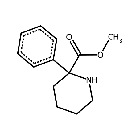 COC(=O)C1(c2ccccc2)CCCCN1